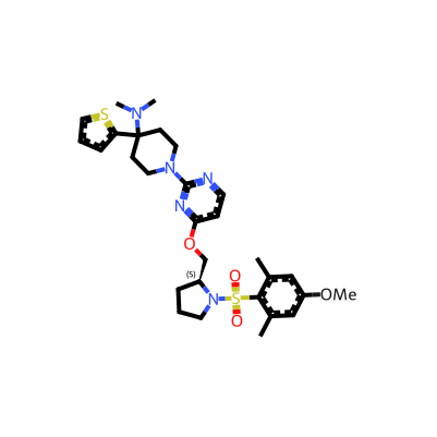 COc1cc(C)c(S(=O)(=O)N2CCC[C@H]2COc2ccnc(N3CCC(c4cccs4)(N(C)C)CC3)n2)c(C)c1